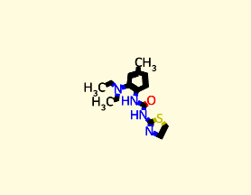 CCN(CC)c1cc(C)ccc1NC(=O)Nc1nccs1